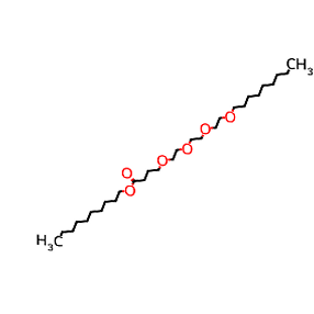 CCCCCCCCCCOC(=O)CCCOCCOCCOCCOCCCCCCCCC